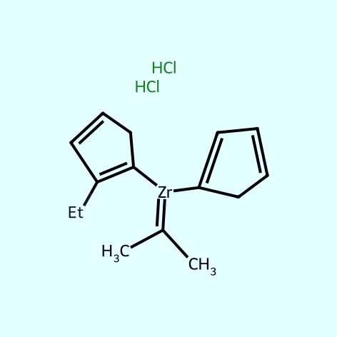 CCC1=[C]([Zr]([C]2=CC=CC2)=[C](C)C)CC=C1.Cl.Cl